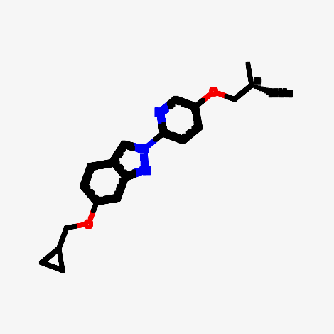 CC(=O)N[C@@H](C)COc1ccc(-n2cc3ccc(OCC4CC4)cc3n2)nc1